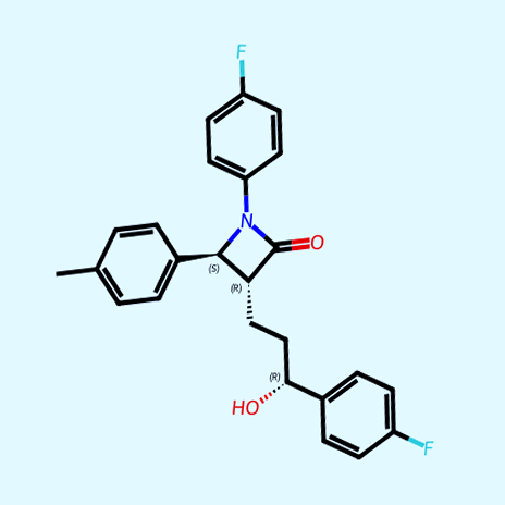 Cc1ccc([C@@H]2[C@@H](CC[C@@H](O)c3ccc(F)cc3)C(=O)N2c2ccc(F)cc2)cc1